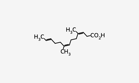 CC=CCCC(C)=CCCC(C)=CCC(=O)O